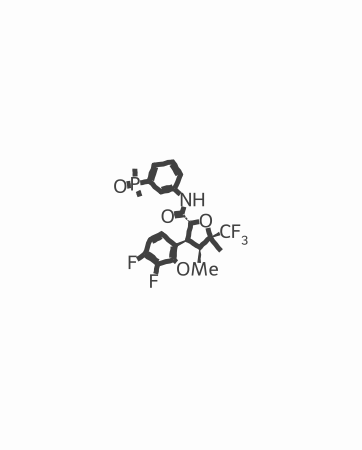 COc1c([C@H]2[C@H](C(=O)Nc3cccc(P(C)(C)=O)c3)O[C@@](C)(C(F)(F)F)[C@H]2C)ccc(F)c1F